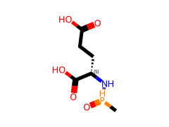 C[PH](=O)N[C@@H](CCC(=O)O)C(=O)O